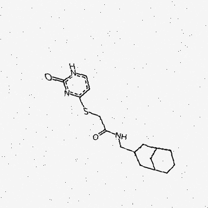 O=C(CSc1cc[nH]c(=O)n1)NCC1CC2CCCC(C2)C1